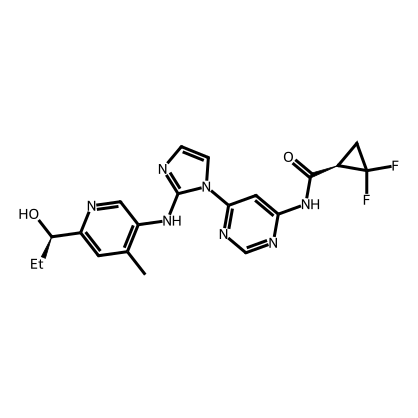 CC[C@@H](O)c1cc(C)c(Nc2nccn2-c2cc(NC(=O)[C@H]3CC3(F)F)ncn2)cn1